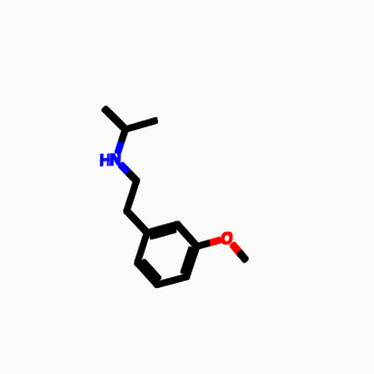 COc1cccc(CCNC(C)C)c1